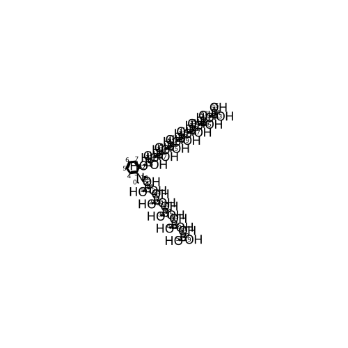 CN(C)c1ccccc1.OB(O)O.OB(O)O.OB(O)O.OB(O)O.OB(O)O.OB(O)O.OB(O)O.OB(O)O.OB(O)O.OB(O)O.OB(O)O.OB(O)O